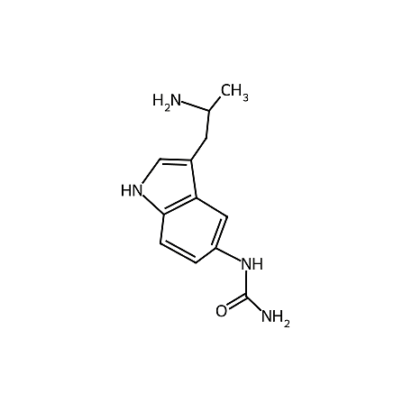 CC(N)Cc1c[nH]c2ccc(NC(N)=O)cc12